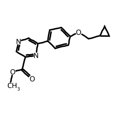 COC(=O)c1cncc(-c2ccc(OCC3CC3)cc2)n1